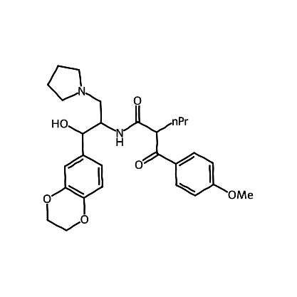 CCCC(C(=O)NC(CN1CCCC1)C(O)c1ccc2c(c1)OCCO2)C(=O)c1ccc(OC)cc1